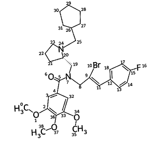 COc1cc(C(=O)N(C/C(Br)=C/c2ccc(F)cc2)C[C@@H]2CCCN2CC2CCCCC2)cc(OC)c1OC